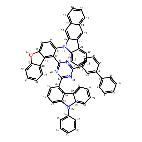 c1ccc(-c2cccc(-c3nc(-c4c(-n5c6ccccc6c6cc7ccccc7cc65)ccc5oc6ccccc6c45)nc(-c4cccc5c4c4ccccc4n5-c4ccccc4)n3)c2)cc1